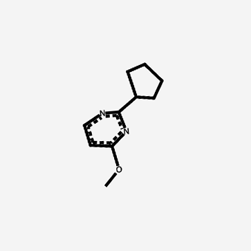 COc1ccnc(C2CCCC2)n1